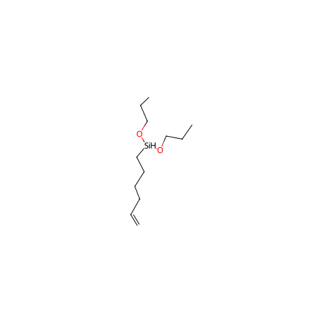 C=CCCCC[SiH](OCCC)OCCC